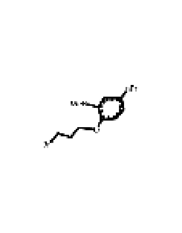 CC[CH]c1ccc(OCCCBr)c(NC)c1